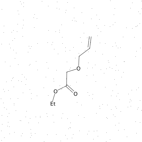 C=CCOCC(=O)OCC